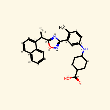 Cc1ccc(NC2CCC(C(=O)O)CC2)cc1-c1noc(C(C)c2cccc3ccccc23)n1